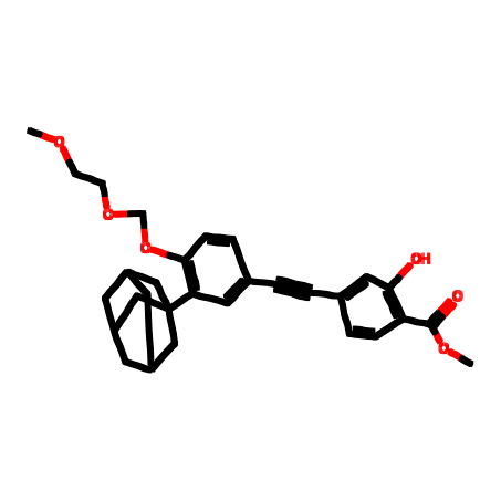 COCCOCOc1ccc(C#Cc2ccc(C(=O)OC)c(O)c2)cc1C12CC3CC(CC(C3)C1)C2